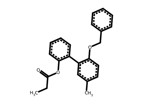 CCC(=O)Oc1ccccc1-c1cc(C)ccc1OCc1ccccc1